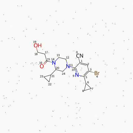 N#Cc1cc(Br)c(C2CC2)nc1N1CCN(C(=O)CCO)C(C2CC2)C1